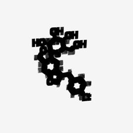 CCc1ccc(Cc2coc3cc4c(cc23)[C@]2(OC4)S[C@H](CO)[C@@H](O)[C@H](O)[C@H]2O)cc1